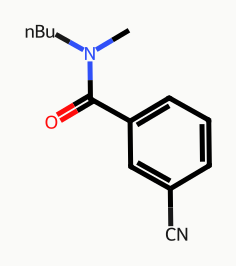 CCCCN(C)C(=O)c1cccc(C#N)c1